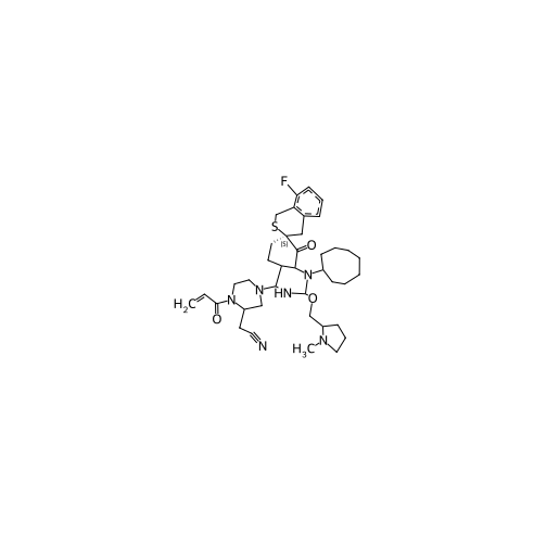 C=CC(=O)N1CCN(C2NC(OCC3CCCN3C)N(C3CCCCCCC3)C3C(=O)[C@]4(CCC23)Cc2cccc(F)c2CS4)CC1CC#N